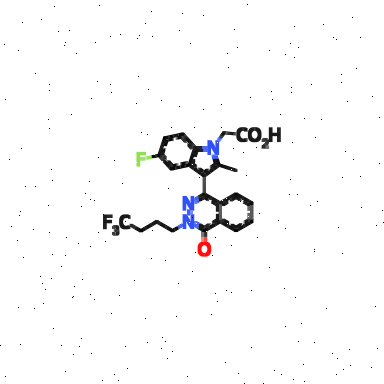 Cc1c(-c2nn(CCCC(F)(F)F)c(=O)c3ccccc23)c2cc(F)ccc2n1CC(=O)O